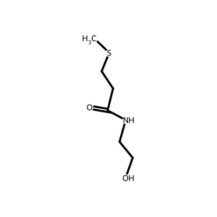 CSCCC(=O)NCCO